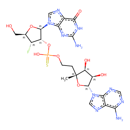 C[C@]1(CCOP(O)(=S)O[C@@H]2[C@H](F)[C@@H](CO)O[C@H]2n2cnc3c(=O)[nH]c(N)nc32)O[C@@H](n2cnc3c(N)ncnc32)[C@H](O)[C@@H]1O